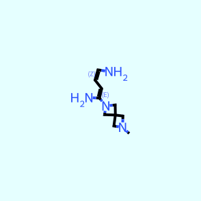 CN1CC2(C1)CN(/C(N)=C/C=C\N)C2